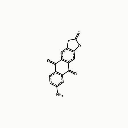 Nc1ccc2c(c1)C(=O)c1cc3c(cc1C2=O)CC(=O)O3